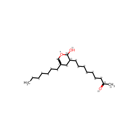 CCCCCCCC1=COC(O)C(CCCCCCCC(C)=O)C1